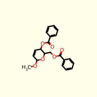 COC1C=CC(OC(=O)c2ccccc2)C(COC(=O)c2ccccc2)O1